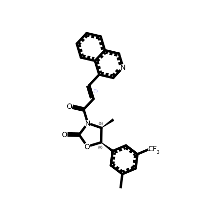 Cc1cc([C@H]2OC(=O)N(C(=O)/C=C/c3cncc4ccccc34)[C@H]2C)cc(C(F)(F)F)c1